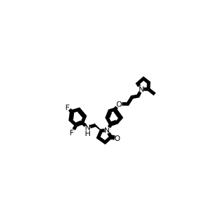 CC1CCCN1CCCOc1ccc(N2C(=O)CC[C@H]2CNc2ccc(F)cc2F)cc1